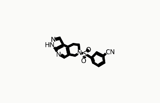 N#Cc1cccc(S(=O)(=O)N2CCc3c(cnc4[nH]ncc34)C2)c1